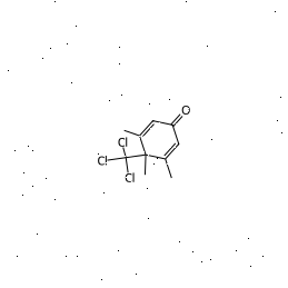 CC1=CC(=O)C=C(C)C1(C)C(Cl)(Cl)Cl